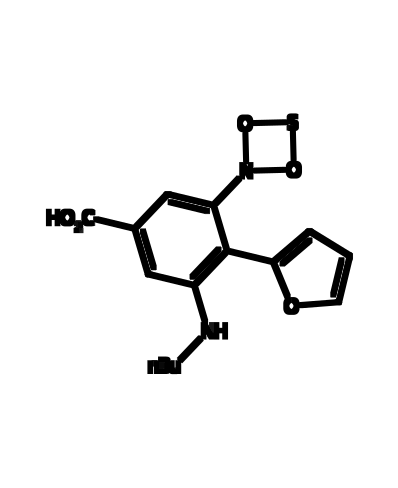 CCCCNc1cc(C(=O)O)cc(N2OSO2)c1-c1ccco1